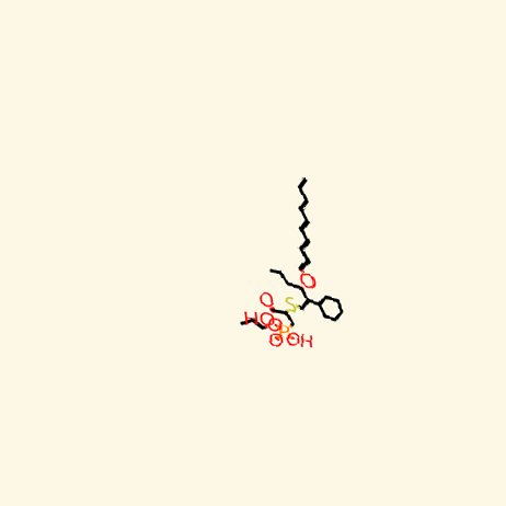 CCCCCCCCCCOC(CCC)C(CSC(CP(=O)(O)OCCC)C(=O)O)C1CCCCC1